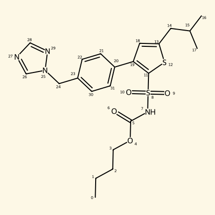 CCCCOC(=O)NS(=O)(=O)c1sc(CC(C)C)cc1-c1ccc(Cn2cncn2)cc1